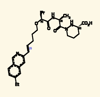 CCc1ccc2cnc(/C=C/CCCO[C@H](C(=O)N[C@@H](C)C(=O)N3CCC[C@@H](C(=O)O)N3)C(C)C)cc2c1